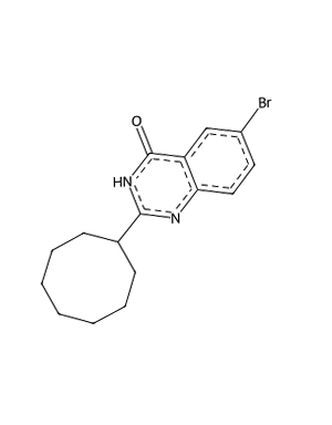 O=c1[nH]c(C2CCCCCCC2)nc2ccc(Br)cc12